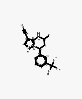 CC1CC(c2cccc(C(F)(F)F)c2)n2ncc(C#N)c2N1